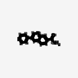 NC(=O)c1ccc2cc(-c3ccncc3)cnc2c1